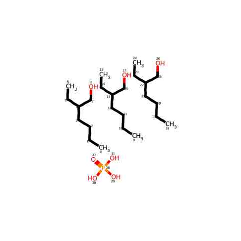 CCCCC(CC)CO.CCCCC(CC)CO.CCCCC(CC)CO.O=P(O)(O)O